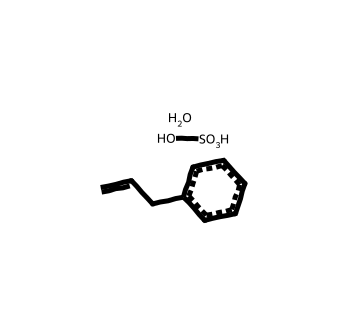 C=CCc1ccccc1.O.O=S(=O)(O)O